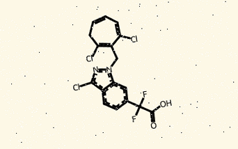 O=C(O)C(F)(F)c1ccc2c(Cl)nn(CC3=C(Cl)CC=CC=C3Cl)c2c1